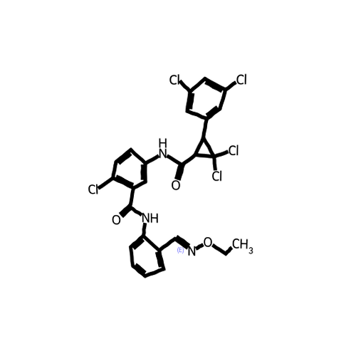 CCO/N=C/c1ccccc1NC(=O)c1cc(NC(=O)C2C(c3cc(Cl)cc(Cl)c3)C2(Cl)Cl)ccc1Cl